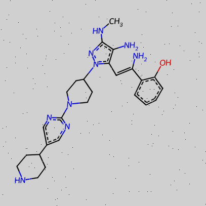 CNc1nn(C2CCN(c3ncc(C4CCNCC4)cn3)CC2)c(/C=C(\N)c2ccccc2O)c1N